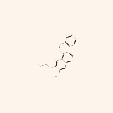 COc1cc2ncnc(N[C@H](C)c3ccccc3)c2cc1OCCBr